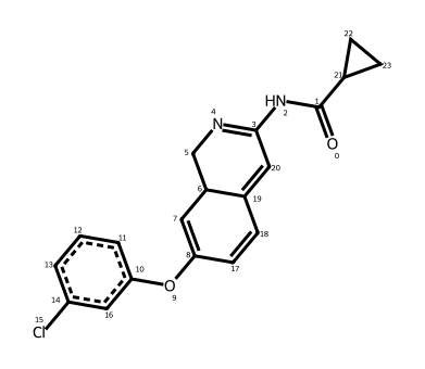 O=C(NC1=NCC2C=C(Oc3cccc(Cl)c3)C=CC2=C1)C1CC1